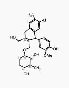 COc1cc(C2c3cc(Cl)c(C)cc3C[C@H](CO)[C@H]2CO[C@@H]2OC[C@@H](O)[C@H](C)[C@H]2O)ccc1O